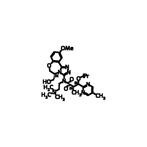 COc1ccc2c(c1)-c1nnc(N(CC[Si](C)(C)C)S(=O)(=O)[C@@H](C)[C@@H](OC(C)C)c3ncc(C)cn3)n1[C@H](CO)CO2